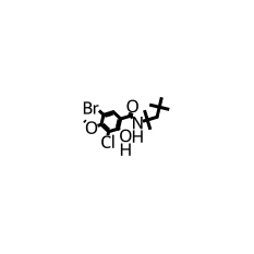 COc1c(Br)cc(C(=O)NC(C)(C)CC(C)(C)C)c(O)c1Cl